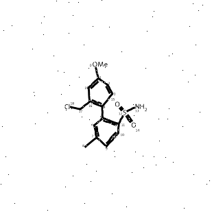 COc1ccc(-c2cc(C)ccc2S(N)(=O)=O)c(CCl)c1